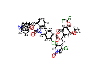 CCOc1cc(C(Cc2c(Cl)c[n+]([O-])cc2Cl)OC(=O)c2ccc(CN(C(=O)O[C@H]3CN4CCC3CC4)c3ccccc3OC)cc2)ccc1OC(F)F